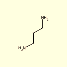 NC[CH]CN